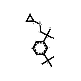 CC(C)(C)c1cccc(C(C)(F)COC2CC2)c1